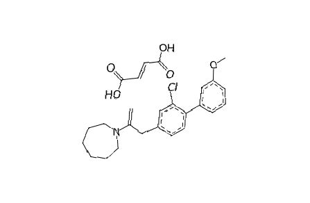 C=C(Cc1ccc(-c2cccc(OC)c2)c(Cl)c1)N1CCCCCC1.O=C(O)C=CC(=O)O